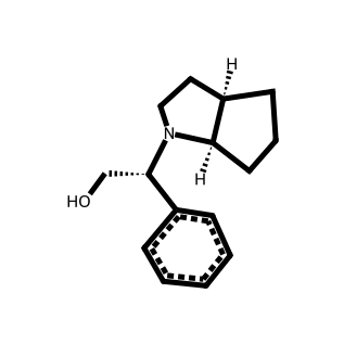 OC[C@@H](c1ccccc1)N1CC[C@H]2CCC[C@H]21